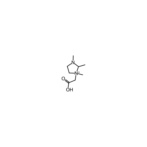 CC1N(C)CC[N+]1(C)CC(=O)O